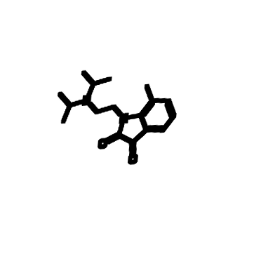 Cc1cccc2c1N(CCN(C(C)C)C(C)C)C(=O)C2=O